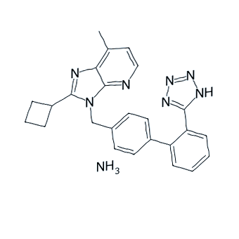 Cc1ccnc2c1nc(C1CCC1)n2Cc1ccc(-c2ccccc2-c2nnn[nH]2)cc1.N